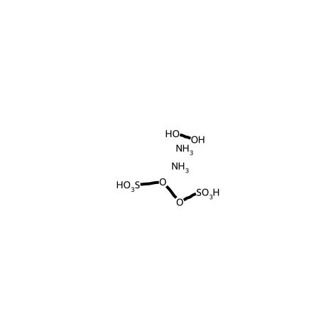 N.N.O=S(=O)(O)OOS(=O)(=O)O.OO